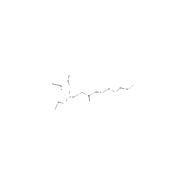 CCCCCCCC(F)CC[Si](OCC)(OCC)OCC